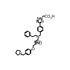 Cl.Cl.O=C(O)Cn1nnc(-c2ccc(CN(CCCCOc3ccc(CN4CCCC4)cc3)CCc3ccccc3)cc2)n1